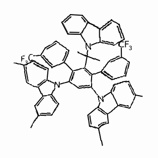 Cc1ccc2c(c1)c1cc(C)ccc1n2-c1cc(-n2c3ccc(C)cc3c3cc(C)ccc32)c(-c2cccc(C(F)(F)F)c2)c(C(C)(C)n2c3ccccc3c3ccccc32)c1-c1cccc(C(F)(F)F)c1